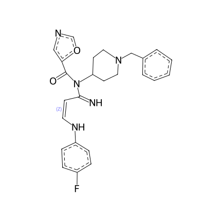 N=C(/C=C\Nc1ccc(F)cc1)N(C(=O)c1cnco1)C1CCN(Cc2ccccc2)CC1